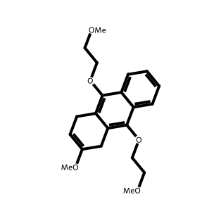 COCCOc1c2c(c(OCCOC)c3ccccc13)CC(OC)=CC2